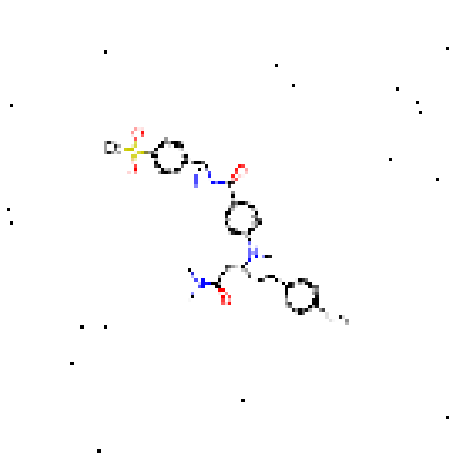 CCS(=O)(=O)c1ccc(CNC(=O)c2ccc(N3CC(c4ccc(C(F)(F)F)cc4)C[C@H]3CC(=O)N(C)C)cc2)cc1